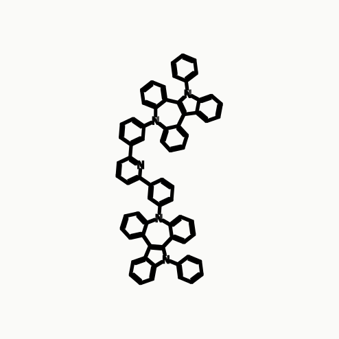 c1ccc(-n2c3c(c4ccccc42)-c2ccccc2N(c2cccc(-c4cccc(-c5cccc(N6c7ccccc7-c7c(n(-c8ccccc8)c8ccccc78)-c7ccccc76)c5)n4)c2)c2ccccc2-3)cc1